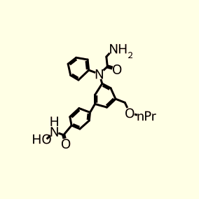 CCCOCc1cc(-c2ccc(C(=O)NO)cc2)cc(N(C(=O)CN)c2ccccc2)c1